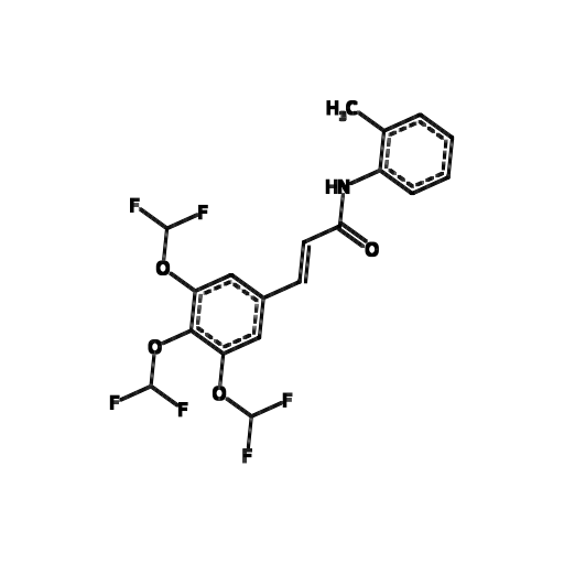 Cc1ccccc1NC(=O)/C=C/c1cc(OC(F)F)c(OC(F)F)c(OC(F)F)c1